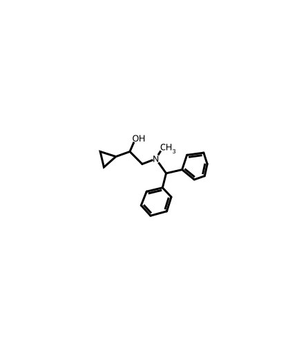 CN(CC(O)C1CC1)C(c1ccccc1)c1ccccc1